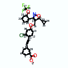 COC(=O)c1cccc(C#Cc2ccc(OCc3c(-c4ccccc4OC(F)(F)F)noc3C3CC3)cc2Cl)c1